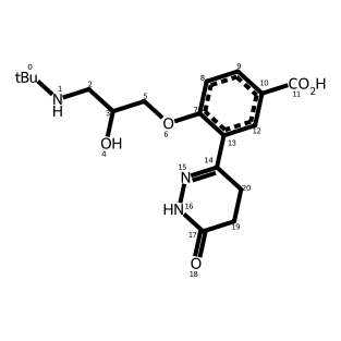 CC(C)(C)NCC(O)COc1ccc(C(=O)O)cc1C1=NNC(=O)CC1